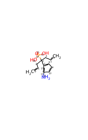 C=CCC(CC=C)(c1cccc(N)c1)P(=O)(O)O